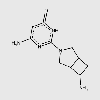 Nc1[c]c(=O)[nH]c(N2CC3CC(N)C3C2)n1